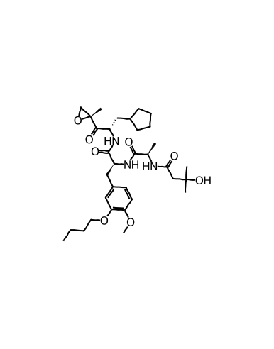 CCCCOc1cc(C[C@H](NC(=O)[C@@H](C)NC(=O)CC(C)(C)O)C(=O)N[C@@H](CC2CCCC2)C(=O)[C@@]2(C)CO2)ccc1OC